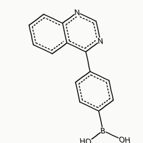 OB(O)c1ccc(-c2ncnc3ccccc23)cc1